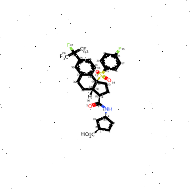 O=C(O)[C@@H]1CC[C@@H](NC(=O)[C@@H]2CC[C@@]3(S(=O)(=O)c4ccc(F)cc4)c4ccc(C(F)(C(F)(F)F)C(F)(F)F)cc4CC[C@@H]23)C1